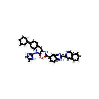 O=C(NC(Cc1ccc(-c2ccccc2)cc1)C(=O)Nc1ncc[nH]1)c1ccc2[nH]c(-c3cc4ccccc4cn3)nc2c1